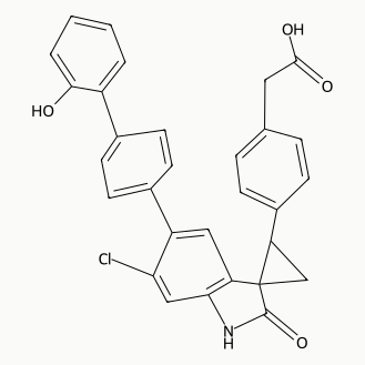 O=C(O)Cc1ccc(C2CC23C(=O)Nc2cc(Cl)c(-c4ccc(-c5ccccc5O)cc4)cc23)cc1